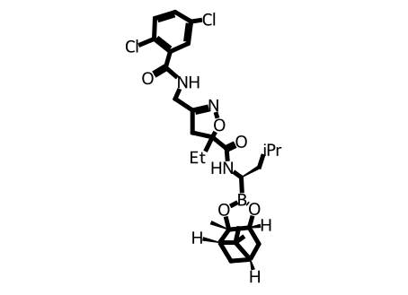 CCC1(C(=O)N[C@@H](CC(C)C)B2O[C@@H]3C[C@@H]4C[C@@H](C4(C)C)[C@]3(C)O2)CC(CNC(=O)c2cc(Cl)ccc2Cl)=NO1